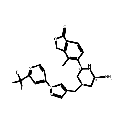 Cc1c([C@@H]2CN(Cc3cnn(-c4ccnc(C(F)(F)F)c4)c3)C[C@H](N)N2)ccc2c1COC2=O